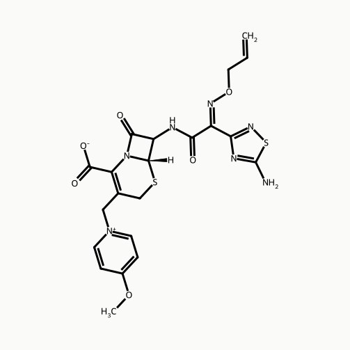 C=CCON=C(C(=O)NC1C(=O)N2C(C(=O)[O-])=C(C[n+]3ccc(OC)cc3)CS[C@@H]12)c1nsc(N)n1